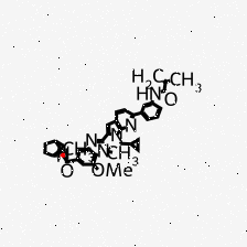 C=C(C)C(=O)Nc1cccc(-c2ccc3cc(-c4nc5cc(C(=O)N6CC7CCC6[C@@H]7C)cc(OC)c5n4C)n(CC4CC4)c3n2)c1